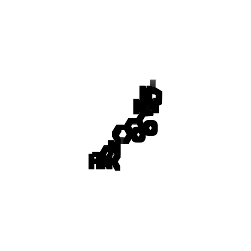 Cc1ccn2cc(-c3cc4ccc(N5CC(C)NC(C)C5)cc4oc3=O)nc2n1